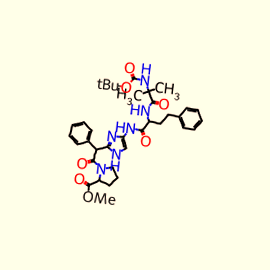 COC(=O)C1CCCN1C(=O)C(c1ccccc1)c1nc(NC(=O)C(CCc2ccccc2)NC(=O)C(C)(C)NC(=O)OC(C)(C)C)c[nH]1